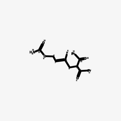 CC(C)C(=O)C(CC(F)=CCOC(N)=O)C(=O)C(C)C